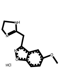 COc1ccc2onc(CC3=NCCN3)c2c1.Cl